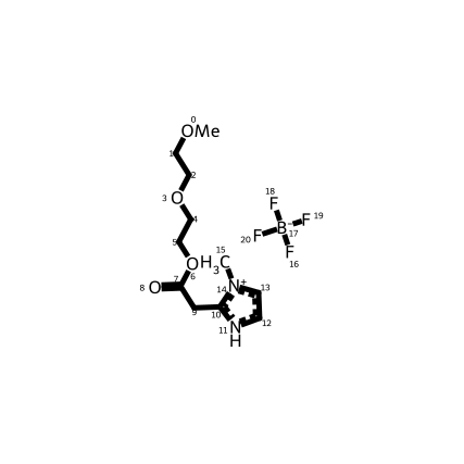 COCCOCCOC(=O)Cc1[nH]cc[n+]1C.F[B-](F)(F)F